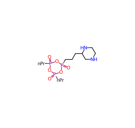 CCCP1(=O)OP(=O)(CCC)OP(=O)(CCCC2CNCCN2)O1